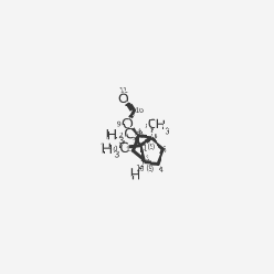 CC1(C)[C@H]2CC[C@]1(C)[C@H](OC=O)C2